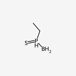 B[PH](=S)CC